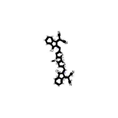 Cn1c2cc(/C=C3\C(=O)c4ccccc4C3=C(C#N)C#N)sc2c2sc(/C=C3\C(=O)c4ccccc4C3=C(C#N)C#N)cc21